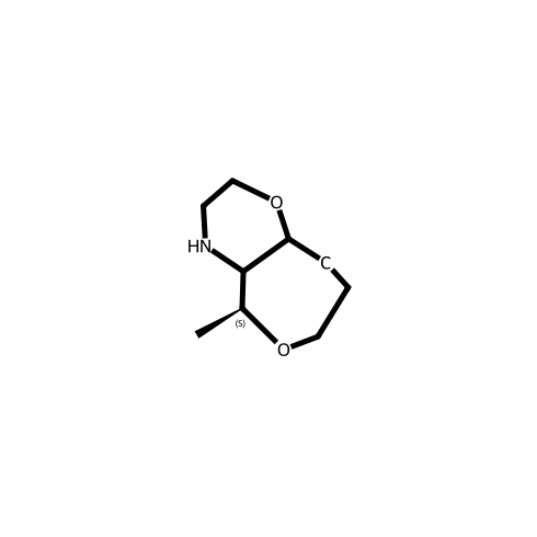 C[C@@H]1OCCCC2OCCNC21